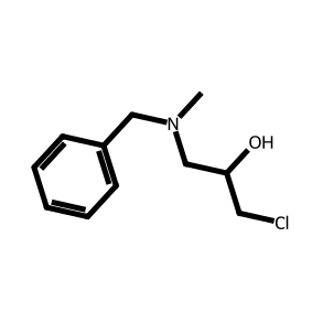 CN(Cc1ccccc1)CC(O)CCl